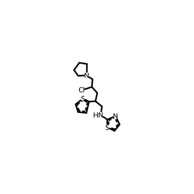 ClC(CC(CNc1nccs1)c1cccs1)CN1CCCC1